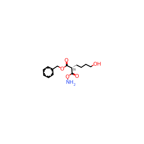 NOC(=O)[C@@H](CCCCO)C(=O)OCc1ccccc1